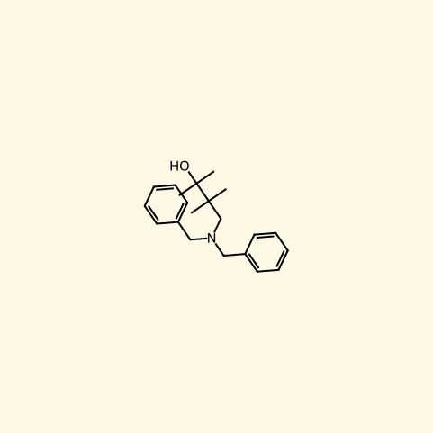 CC(C)(O)C(C)(C)CN(Cc1ccccc1)Cc1ccccc1